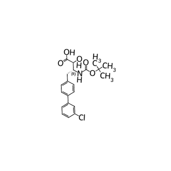 CC(C)(C)OC(=O)N[C@H](Cc1ccc(-c2cccc(Cl)c2)cc1)C(O)C(=O)O